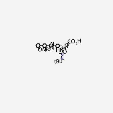 C=C([C@H](Cc1ccc(-c2ncc(-c3ccc(-c4ccccc4OC)cc3F)cn2)cc1)NC(=O)/C(C)=C/C=C(\C)C(C)(C)C)N1CC(C(=O)O)C1